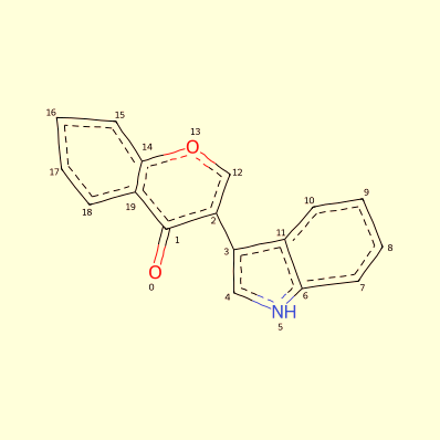 O=c1c(-c2c[nH]c3ccccc23)coc2ccccc12